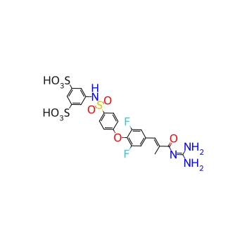 C/C(=C\c1cc(F)c(Oc2ccc(S(=O)(=O)Nc3cc(S(=O)(=O)O)cc(S(=O)(=O)O)c3)cc2)c(F)c1)C(=O)N=C(N)N